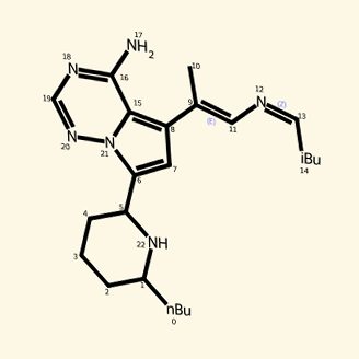 CCCCC1CCCC(c2cc(/C(C)=C/N=C\C(C)CC)c3c(N)ncnn23)N1